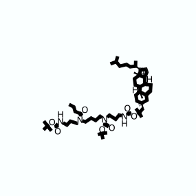 CCCC(=O)N(CCCCN(CCCNC(=O)OC(C)(C)C[C@H]1CC[C@@]2(C)C(=CC[C@H]3[C@@H]4CC[C@H](C(C)CCCC(C)C)[C@@]4(C)CC[C@@H]32)C1)C(=O)OC(C)(C)C)CCCNC(=O)OC(C)(C)C